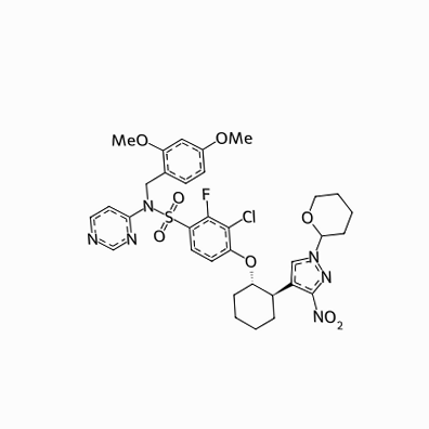 COc1ccc(CN(c2ccncn2)S(=O)(=O)c2ccc(O[C@H]3CCCC[C@@H]3c3cn(C4CCCCO4)nc3[N+](=O)[O-])c(Cl)c2F)c(OC)c1